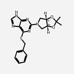 CC1(C)O[C@H]2CN(c3nc(SCc4ccccc4)c4nc[nH]c4n3)C[C@H]2O1